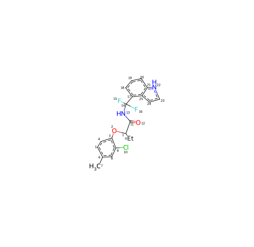 CCC(Oc1ccc(C)cc1Cl)C(=O)NC(F)(F)c1cccc2[nH]ccc12